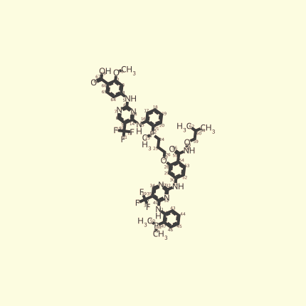 COc1cc(Nc2ncc(C(F)(F)F)c(Nc3ccccc3P(C)CCCOc3cc(Nc4ncc(C(F)(F)F)c(Nc5ccccc5P(C)C)n4)ccc3C(=O)NOCC(C)C)n2)ccc1C(=O)O